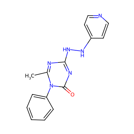 Cc1nc(NNc2ccncc2)nc(=O)n1-c1ccccc1